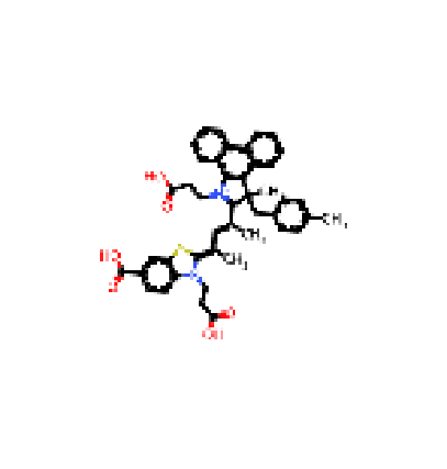 CC(/C=C(\C)C1=[N+](CCC(=O)O)c2c(c3ccccc3c3ccccc23)C1(C)Cc1ccc(C)cc1)=C1/Sc2cc(C(=O)O)ccc2N1CCC(=O)O